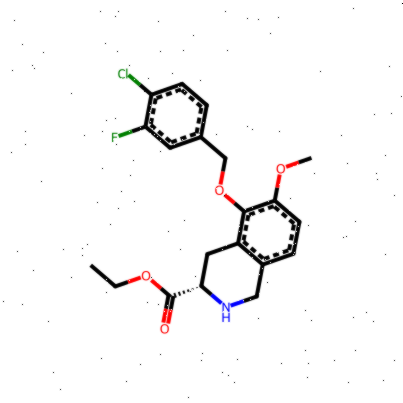 CCOC(=O)[C@@H]1Cc2c(ccc(OC)c2OCc2ccc(Cl)c(F)c2)CN1